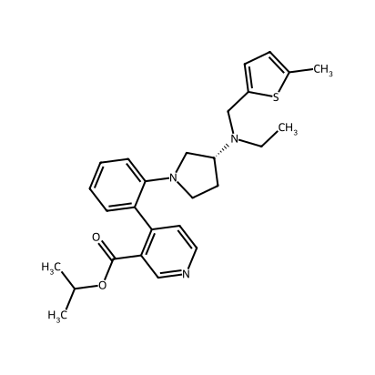 CCN(Cc1ccc(C)s1)[C@@H]1CCN(c2ccccc2-c2ccncc2C(=O)OC(C)C)C1